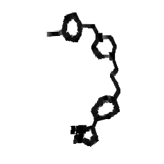 Cc1ccc(CN2CCN(CCCc3ccc(-c4ccn[nH]4)cc3)CC2)cc1